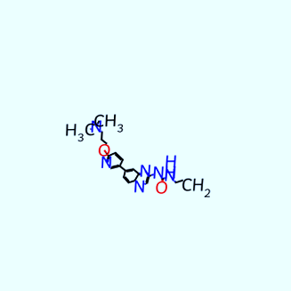 C=CCNC(=O)Nc1cnc2ccc(-c3ccc(OCCCN(C)C)nc3)cc2n1